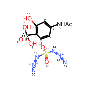 CC(=O)Nc1ccc([As](=O)(O)O)c(O)c1.[N-]=[N+]=NS(=O)(=O)N=[N+]=[N-]